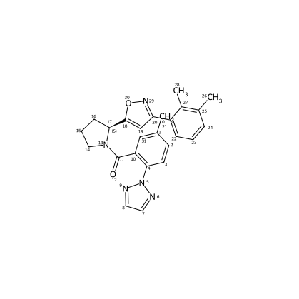 Cc1ccc(-n2nccn2)c(C(=O)N2CCC[C@H]2c2cc(-c3cccc(C)c3C)no2)c1